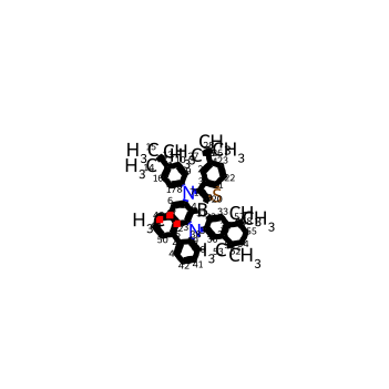 Cc1cc2c3c(c1)N(c1ccc(C(C)(C)C)cc1)c1c(sc4ccc(C(C)(C)C)cc14)B3c1cc3c(cc1N2c1ccccc1-c1ccccc1)C(C)(C)CCC3(C)C